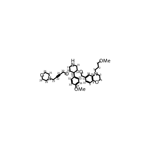 COCCCN1CCOc2ccc(CO[C@H]3CNC[C@@H](OCC#CCN4CCOCC4)C3c3ccc(OC)cc3)cc21